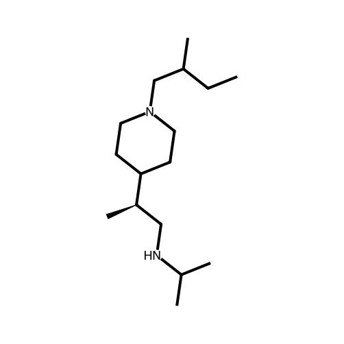 CCC(C)CN1CCC([C@H](C)CNC(C)C)CC1